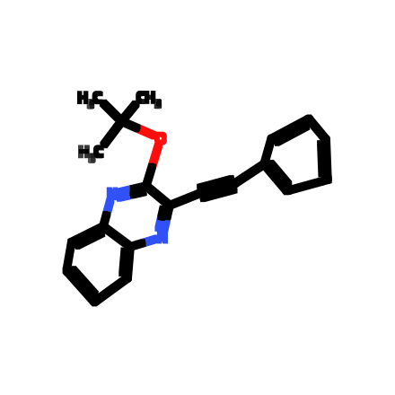 CC(C)(C)Oc1nc2ccccc2nc1C#Cc1ccccc1